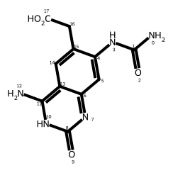 NC(=O)Nc1cc2nc(=O)[nH]c(N)c2cc1CC(=O)O